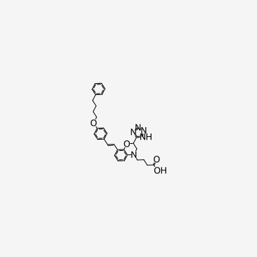 O=C(O)CCCN1CC(c2nnn[nH]2)Oc2c(C=Cc3ccc(OCCCCc4ccccc4)cc3)cccc21